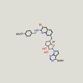 CNc1ncnc2c1ccn2[C@@H]1O[C@@H]2[C@H](Cc3ccc4cc(Br)c(NCc5ccc(OC)cc5)nc4c3)CC[C@]2(O)[C@H]1O